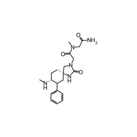 CN[C@@H]1CC[C@]2(CC1c1ccccc1)CN(CC(=O)N(C)CC(N)=O)C(=O)N2